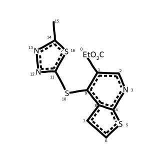 CCOC(=O)c1cnc2sccc2c1Sc1nnc(C)s1